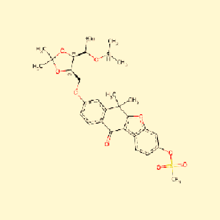 C[SiH](C)OC([C@@H]1OC(C)(C)O[C@@H]1COc1ccc2c(c1)C(C)(C)c1oc3cc(OS(=O)(=O)C(F)(F)F)ccc3c1C2=O)C(C)(C)C